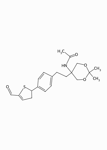 CC(=O)NC1(CCc2ccc(C3CC=C(C=O)S3)cc2)COC(C)(C)OC1